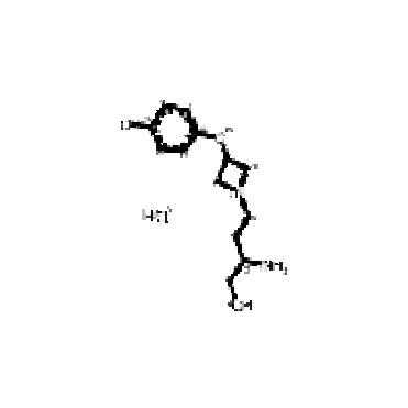 Cl.NC(CO)CCN1CC(Oc2ccc(Cl)cc2)C1